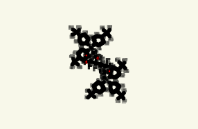 CC(C)(C)c1ccc(S(OS(=O)(=O)C(F)(F)C(F)(F)C(F)(F)C(F)(F)S(=O)(=O)OS(c2ccc(C(C)(C)C)cc2)(c2ccc(C(C)(C)C)cc2)c2ccc(C(C)(C)C)cc2)(c2ccc(C(C)(C)C)cc2)c2ccc(C(C)(C)C)cc2)cc1